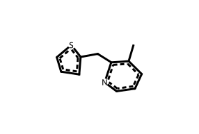 Cc1cccnc1Cc1cccs1